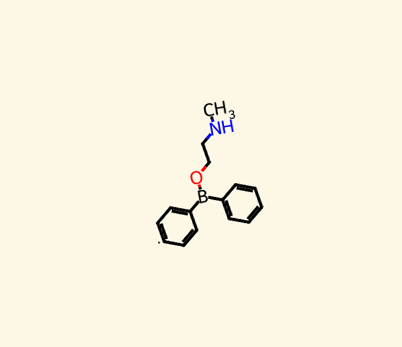 CNCCOB(c1cc[c]cc1)c1ccccc1